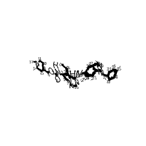 CCc1c(NC(=O)OCC2=CCN(C)CC2)cn2ncnc(Nc3ccc4c(cnn4Cc4ccccc4)c3)c12